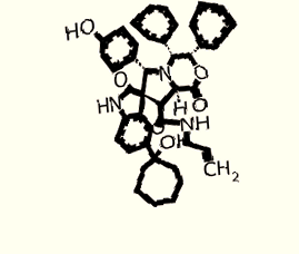 C=CCNC(=O)C1[C@@H]2C(=O)O[C@@H](c3ccccc3)[C@@H](c3ccccc3)N2[C@@H](c2ccc(O)cc2)[C@]12C(=O)Nc1ccc(C3(O)CCCCCC3)cc12